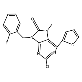 Cn1c(=O)n(Cc2ccccc2F)c2nc(Cl)nc(-c3ccco3)c21